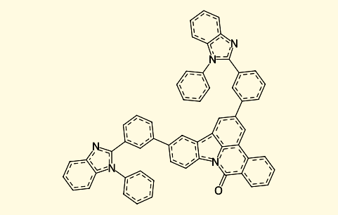 O=c1c2ccccc2c2cc(-c3cccc(-c4nc5ccccc5n4-c4ccccc4)c3)cc3c4cc(-c5cccc(-c6nc7ccccc7n6-c6ccccc6)c5)ccc4n1c23